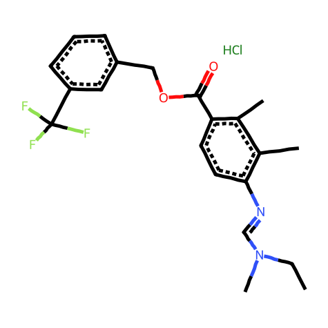 CCN(C)/C=N/c1ccc(C(=O)OCc2cccc(C(F)(F)F)c2)c(C)c1C.Cl